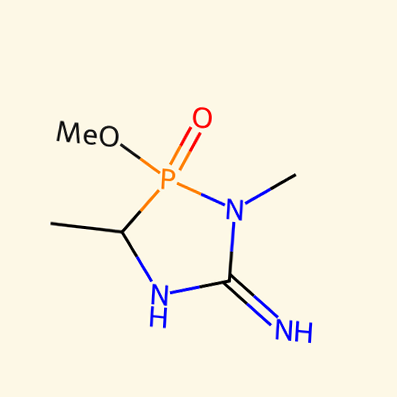 COP1(=O)C(C)NC(=N)N1C